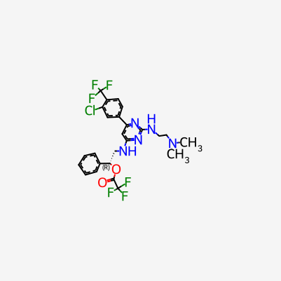 CN(C)CCNc1nc(NC[C@H](OC(=O)C(F)(F)F)c2ccccc2)cc(-c2ccc(C(F)(F)F)c(Cl)c2)n1